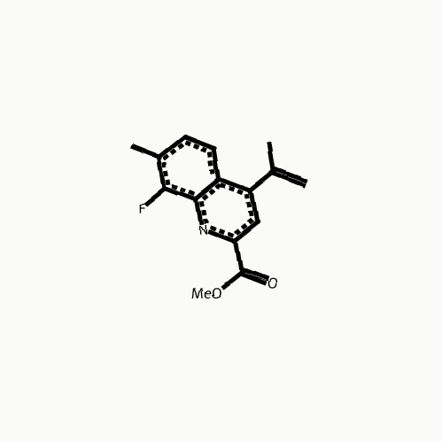 C=C(C)c1cc(C(=O)OC)nc2c(F)c(C)ccc12